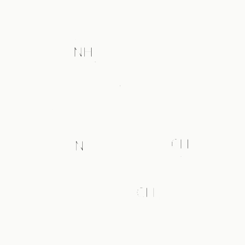 CC(C)C1=CC(N)=C=N1